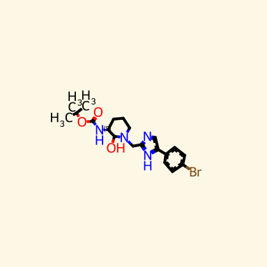 CC(C)(C)OC(=O)N[C@H]1CCCN(Cc2ncc(-c3ccc(Br)cc3)[nH]2)C1O